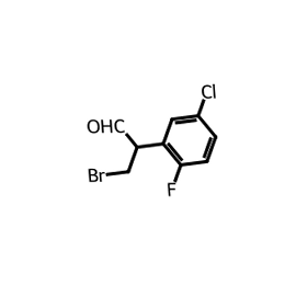 O=CC(CBr)c1cc(Cl)ccc1F